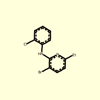 CCc1ccc(Br)c(Nc2ccccc2Cl)n1